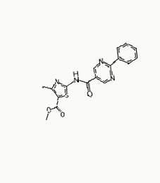 COC(=O)c1sc(NC(=O)c2cnc(-c3ccccc3)nc2)nc1C